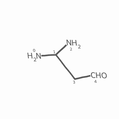 NC(N)CC=O